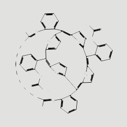 CC(C)(C)C(=O)Nc1ccccc1-c1c2nc(c3c4ccc([nH]4)c(-c4ccccc4NC(=O)C(C)(C)C)c4nc(c(c5ccc1[nH]5)-c1ccccc1N=C(O)CCCCCCCCC(O)=Nc1ccccc1-3)C=C4)C=C2